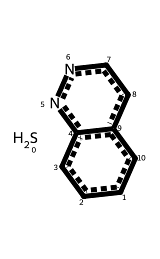 S.c1ccc2nnccc2c1